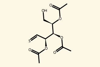 CC(=O)O[C@@H]([C@H](C=S)OC(C)=O)[C@@H](CO)OC(C)=O